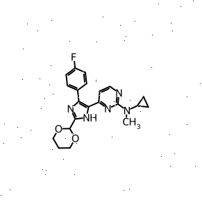 CN(c1nccc(-c2[nH]c(C3OCCCO3)nc2-c2ccc(F)cc2)n1)C1CC1